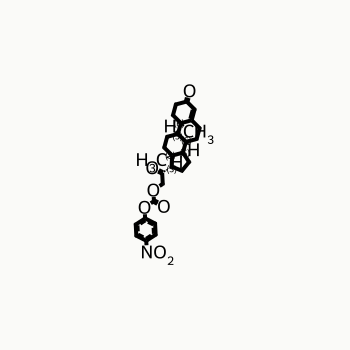 C[C@]12CC[C@H]3[C@@H](CCC4=CC(=O)CC[C@@]43C)[C@@H]1CC[C@@H]2C(=O)COC(=O)Oc1ccc([N+](=O)[O-])cc1